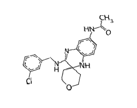 CC(=O)Nc1ccc2c(c1)N=C(NCc1cccc(Cl)c1)C1(CCOCC1)N2